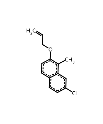 C=CCOc1ccc2ccc(Cl)cc2c1C